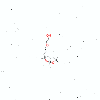 C[Si](C)(C)O[Si](C)(C)O[Si](C)(C)CCCOCCO